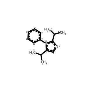 CC(C)c1cnc(C(C)C)n1-c1ccccc1